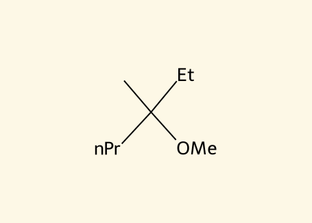 CCCC(C)(CC)OC